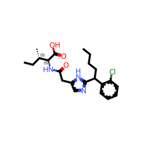 CCCCC(c1ncc(CC(=O)N[C@H](C(=O)O)[C@@H](C)CC)[nH]1)c1ccccc1Cl